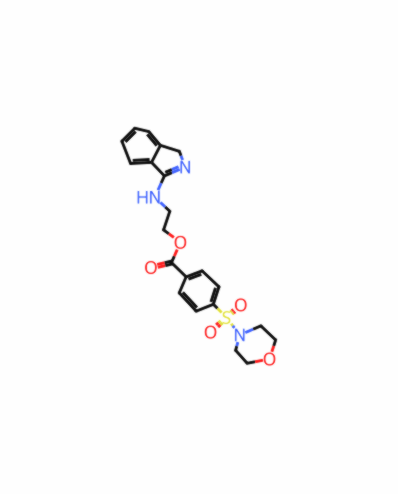 O=C(OCCNC1=NCc2ccccc21)c1ccc(S(=O)(=O)N2CCOCC2)cc1